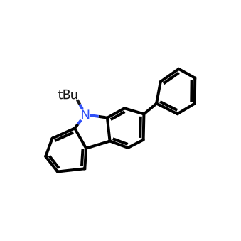 CC(C)(C)n1c2ccccc2c2ccc(-c3ccccc3)cc21